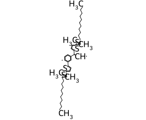 [CH]=C(c1cc[c]c(-c2ccc([Si](C)(C)CCCCCCCCCCCC)s2)c1)c1ccc([Si](C)(C)CCCCCCCCCCCC)s1